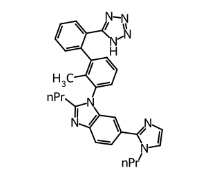 CCCc1nc2ccc(-c3nccn3CCC)cc2n1-c1cccc(-c2ccccc2-c2nnn[nH]2)c1C